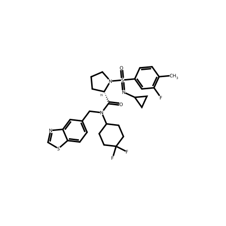 Cc1ccc(S(=O)(=NC2CC2)N2CCC[C@H]2C(=O)N(Cc2ccc3scnc3c2)C2CCC(F)(F)CC2)cc1F